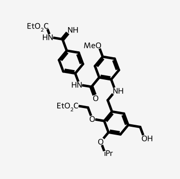 CCOC(=O)COc1c(CNc2ccc(OC)cc2C(=O)Nc2ccc(C(=N)NC(=O)OCC)cc2)cc(CO)cc1OC(C)C